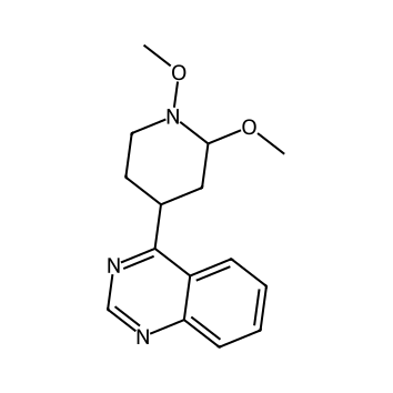 COC1CC(c2ncnc3ccccc23)CCN1OC